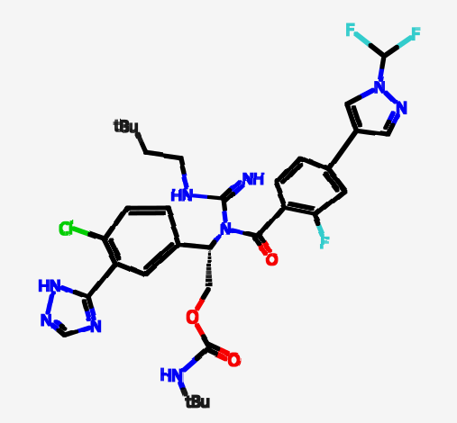 CC(C)(C)CCNC(=N)N(C(=O)c1ccc(-c2cnn(C(F)F)c2)cc1F)[C@H](COC(=O)NC(C)(C)C)c1ccc(Cl)c(-c2ncn[nH]2)c1